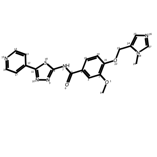 COc1cc(C(=O)Nc2nnc(-c3ccncc3)s2)ccc1OCc1cncn1C